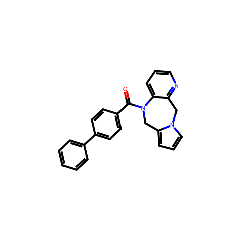 O=C(c1ccc(-c2ccccc2)cc1)N1Cc2cccn2Cc2ncccc21